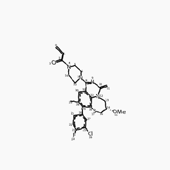 C=CC(=O)N1CCN(C2=NC(=C)N3C[C@H](OC)CSc4c(-c5ccc(F)c(Cl)c5)c(C)cc2c43)CC1